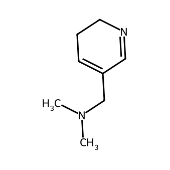 CN(C)CC1=CCCN=C1